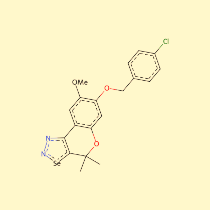 COc1cc2c(cc1OCc1ccc(Cl)cc1)OC(C)(C)c1[se]nnc1-2